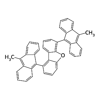 Cc1c2ccccc2c(-c2cccc3c2oc2cccc(-c4c5ccccc5c(C)c5ccccc45)c23)c2ccccc12